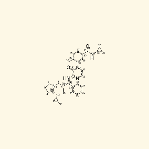 COC[C@@H]1CCCN1C[C@H](C)[C@@H](Nc1nccn(-c2cc(C(=O)NC3CC3)ccc2C)c1=O)c1ccccc1